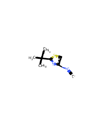 [C-]#[N+]c1csc(C(C)(C)C)n1